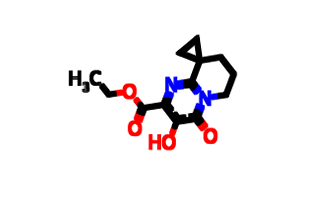 CCOC(=O)c1nc2n(c(=O)c1O)CCCC21CC1